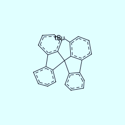 CC(C)(C)c1cccc2c1C1(c3ccccc3-c3ccccc31)c1ccccc1-2